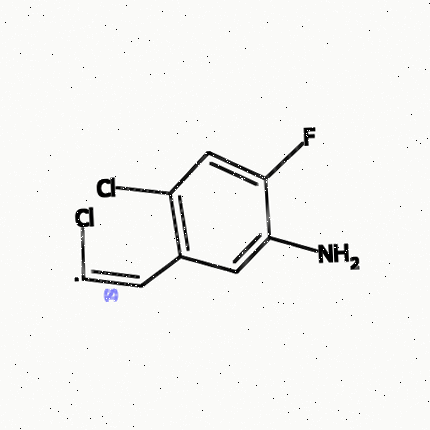 Nc1cc(/C=[C]\Cl)c(Cl)cc1F